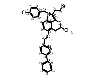 CC1Cc2c(OCc3ccc(-c4ccccc4)cn3)ccc3c2c(c(CCBr)n3Cc2ccc(Cl)cc2)S1